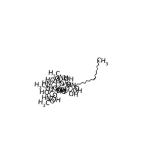 CCCCCCCC/C=C\CCCCCCCC(=O)N[C@@H]1C(O)[C@H](O)[C@@H](CO)O[C@H]1O[C@H]1C(O)[C@@H](NC(C)=O)[C@H](O[C@H]2C(O)[C@@H](NC(C)=O)[C@H](O[C@H]3C(O)[C@@H](NC(C)=O)C(O)O[C@H]3CO)O[C@@H]2CO)O[C@H]1CO